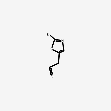 O=CCc1cnc(Br)s1